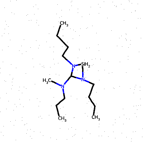 CCCCN1[SiH2]N(CCCC)C1N(C)CCC